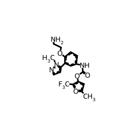 Cc1cc(OC(=O)Nc2ccc(OCCN)c(-c3ccnn3C)c2)c(C(F)(F)F)o1